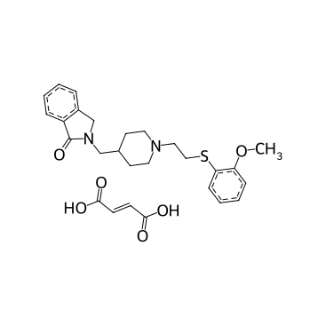 COc1ccccc1SCCN1CCC(CN2Cc3ccccc3C2=O)CC1.O=C(O)C=CC(=O)O